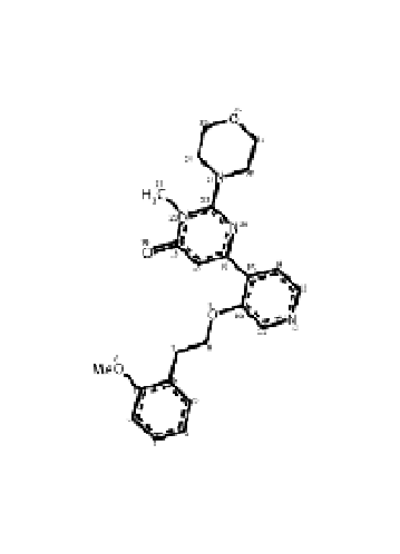 COc1ccccc1CCOc1cnccc1-c1cc(=O)n(C)c(N2CCOCC2)n1